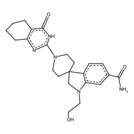 NC(=O)c1ccc2c(c1)N(CCO)CC21CCN(c2nc3c(c(=O)[nH]2)CCCC3)CC1